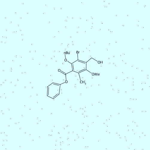 CCCCOc1c(Br)c(CO)c(OC)c(C)c1C(=O)Oc1ccccc1